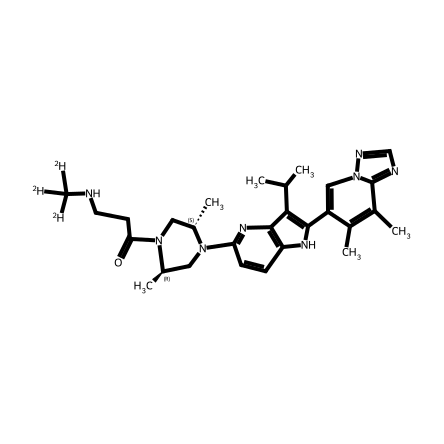 [2H]C([2H])([2H])NCCC(=O)N1C[C@H](C)N(c2ccc3[nH]c(-c4cn5ncnc5c(C)c4C)c(C(C)C)c3n2)C[C@H]1C